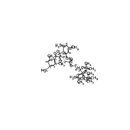 Cc1cc(C)c(C(=O)P(=O)(CCC(=O)OCCC[Si](O[Si](C)(C)C)(O[Si](C)(C)C)O[Si](C)(C)C)C(=O)c2c(C)cc(C)cc2C)c(C)c1